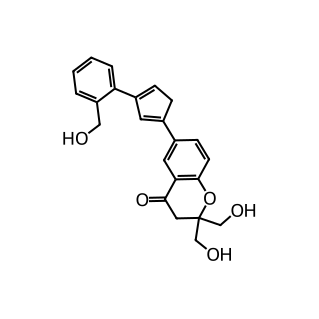 O=C1CC(CO)(CO)Oc2ccc(C3=CC(c4ccccc4CO)=CC3)cc21